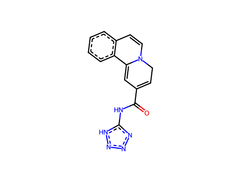 O=C(Nc1nnn[nH]1)C1=CCN2C=Cc3ccccc3C2=C1